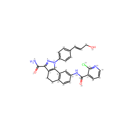 NC(=O)c1nn(-c2ccc(C=CCO)cc2)c2c1CCc1ccc(NC(=O)c3cccnc3Cl)cc1-2